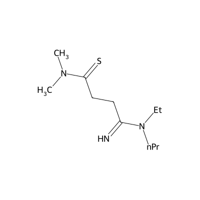 CCCN(CC)C(=N)CCC(=S)N(C)C